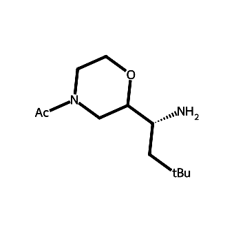 CC(=O)N1CCOC([C@H](N)CC(C)(C)C)C1